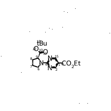 CCOC(=O)c1cnc(N2CCC[C@H]2C(=O)OC(C)(C)C)nc1